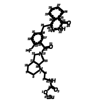 CC(C)(C)OC(=O)NCCN1CCCC2CN(C(=O)c3cc(Cc4n[nH]c(=O)c5ccccc45)ccc3F)CC21